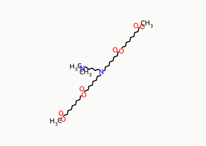 COC(=O)CCCCCCCCOC(=O)CCCCCCCN(CCCCCCCC(=O)OCCCCCCCCC(=O)OC)CCCCCN(C)C